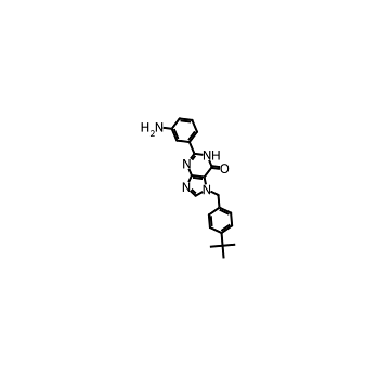 CC(C)(C)c1ccc(Cn2cnc3nc(-c4cccc(N)c4)[nH]c(=O)c32)cc1